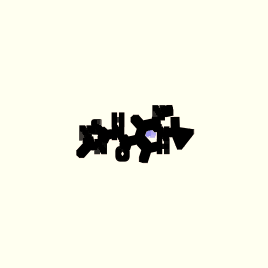 C=N/C(NC1(C)CC1)=C(\C)C(C(=O)Nc1nc(C)ns1)=C(C)C